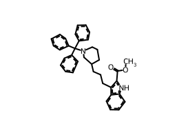 COC(=O)c1[nH]c2ccccc2c1CCCC1CCCN(C(c2ccccc2)(c2ccccc2)c2ccccc2)C1